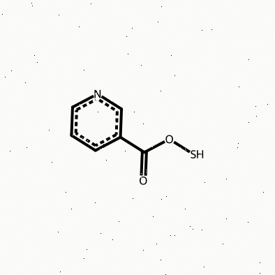 O=C(OS)c1cccnc1